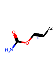 CC(=O)/C=C/OC(N)=O